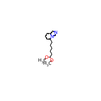 COC(CCCCCc1cccc2cncn12)OC